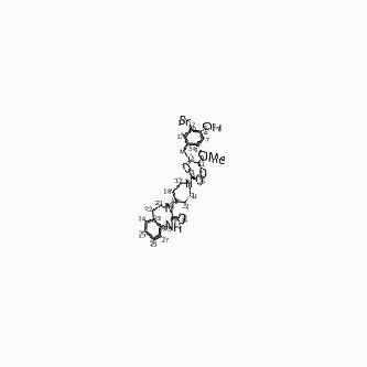 COC(=O)C(Cc1ccc(O)c(Br)c1)OC(=O)N1CCC(N2CCc3ccccc3NC2=O)CC1